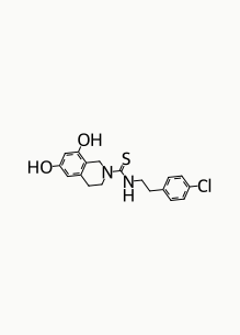 Oc1cc(O)c2c(c1)CCN(C(=S)NCCc1ccc(Cl)cc1)C2